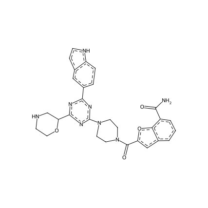 NC(=O)c1cccc2cc(C(=O)N3CCN(c4nc(-c5ccc6[nH]ccc6c5)nc(C5CNCCO5)n4)CC3)oc12